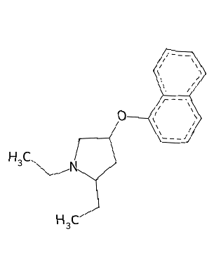 CCC1CC(Oc2cccc3ccccc23)CN1CC